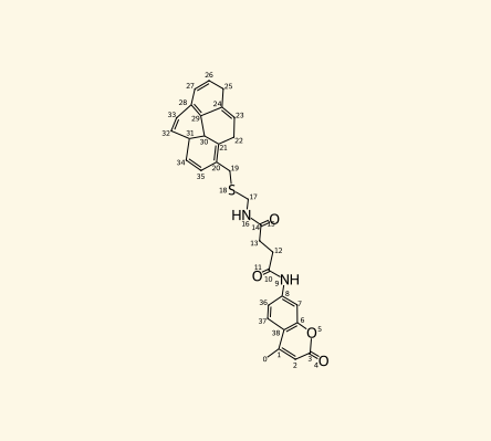 Cc1cc(=O)oc2cc(NC(=O)CCC(=O)NCSCC3=C4CC=C5CC=CC6=C5C4C(C=C6)C=C3)ccc12